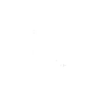 COc1cccc(C(=O)c2cccc(Br)c2)c1